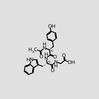 CC(=O)N[C@@H](Cc1ccc(O)cc1)C(=O)N[C@@H](Cc1c[nH]c2ccccc12)C(=O)NCC(=O)O